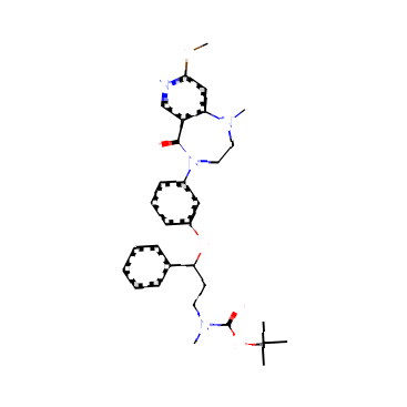 CSc1cc2c(cn1)C(=O)N(c1cccc(OC(CCN(C)C(=O)OC(C)(C)C)c3ccccc3)c1)CCN2C